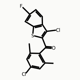 Cc1cc(Cl)cc(C)c1C(=O)c1sc2cc(F)ccc2c1Cl